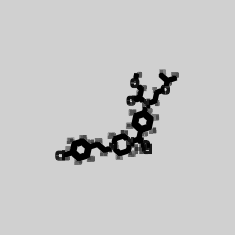 COCC(=O)N(CCOC(C)C)c1ccc(C(=O)N2CCN(CCc3ccc(Cl)cc3)CC2)cc1.Cl